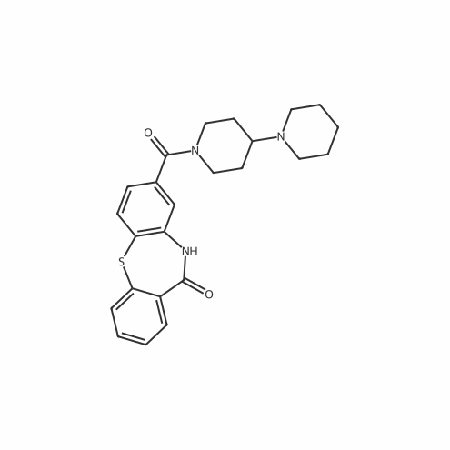 O=C1Nc2cc(C(=O)N3CCC(N4CCCCC4)CC3)ccc2Sc2ccccc21